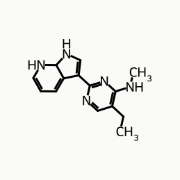 CCc1cnc(C2=CNC3NC=CC=C23)nc1NC